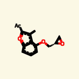 CC(=O)c1oc2cccc(OC[C@@H]3CO3)c2c1C